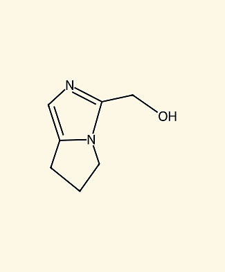 OCc1ncc2n1CCC2